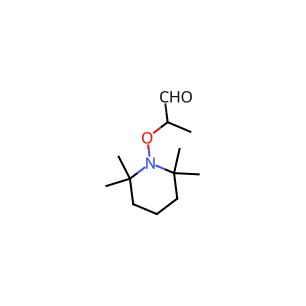 CC(C=O)ON1C(C)(C)CCCC1(C)C